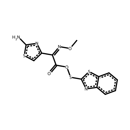 CON=C(C(=O)OSc1nc2ccccc2s1)c1csc(N)n1